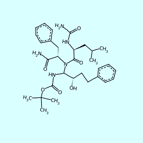 CC(C)C[C@H](NC(N)=O)C(=O)N(C(NC(=O)OC(C)(C)C)[C@@H](O)CCc1ccccc1)[C@@H](Cc1ccccc1)C(N)=O